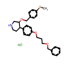 CSc1ccc(COC2CNCCC2c2ccc(OCCCOCc3ccccc3)cc2)cc1.Cl